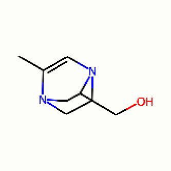 CC1=CN2CCN1CC2CO